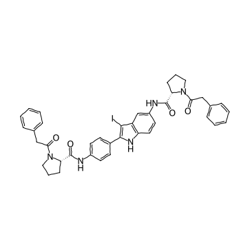 O=C(Nc1ccc(-c2[nH]c3ccc(NC(=O)[C@@H]4CCCN4C(=O)Cc4ccccc4)cc3c2I)cc1)[C@@H]1CCCN1C(=O)Cc1ccccc1